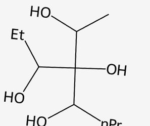 CCCC(O)C(O)(C(C)O)C(O)CC